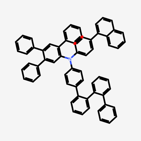 c1ccc(-c2cc(-c3ccccc3)c(N(c3ccc(-c4ccccc4-c4ccccc4-c4ccccc4)cc3)c3ccc(-c4cccc5ccccc45)cc3)cc2-c2ccccc2)cc1